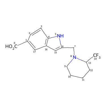 O=C(O)c1ccc2[nH]c(CN3CCCCC3C(F)(F)F)cc2c1